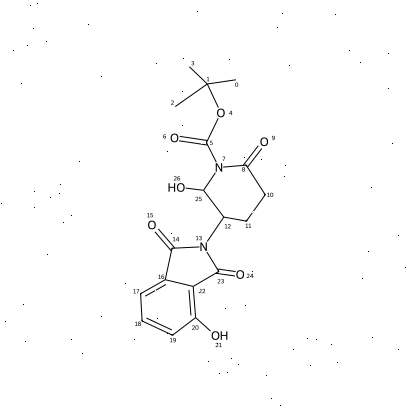 CC(C)(C)OC(=O)N1C(=O)CCC(N2C(=O)c3cccc(O)c3C2=O)C1O